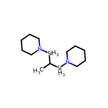 CC([SiH2]N1CCCCC1)[SiH2]N1CCCCC1